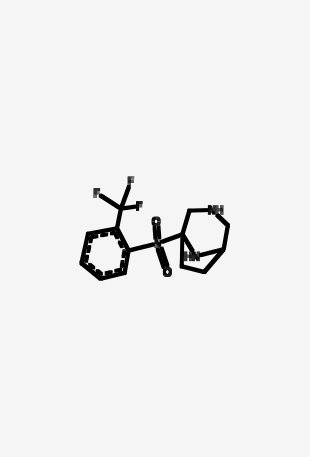 O=S(=O)(c1ccccc1C(F)(F)F)C12CCC(CNC1)N2